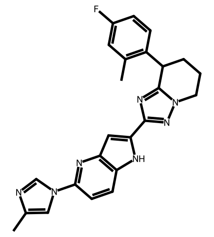 Cc1cn(-c2ccc3[nH]c(-c4nc5n(n4)CCCC5c4ccc(F)cc4C)cc3n2)cn1